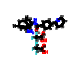 NC12C[C@H]3C[C@@H](C1)CC(NC(=O)c1ccc(-c4ccccn4)cc1)(C3)C2.O=C(O)C(F)(F)F.O=C(O)C(F)(F)F